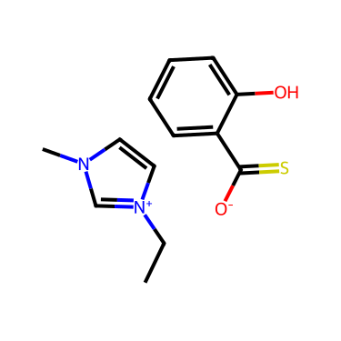 CC[n+]1ccn(C)c1.[O-]C(=S)c1ccccc1O